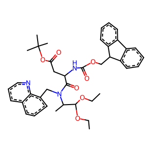 CCOC(OCC)C(C)N(Cc1cccc2cccnc12)C(=O)C(CC(=O)OC(C)(C)C)NC(=O)OCC1c2ccccc2-c2ccccc21